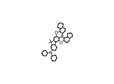 CC1(C)c2cc(N(c3ccccc3)c3ccccc3)ccc2-c2c1cc1c3c2Oc2ccc4ccccc4c2B3c2ccc3ccccc3c2O1